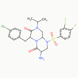 CC(C)N1CC2N(C(=O)C(N)CN2S(=O)(=O)c2ccc(F)c(F)c2)C(Cc2ccc(Cl)cc2)C1=O